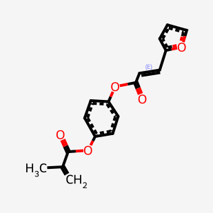 C=C(C)C(=O)Oc1ccc(OC(=O)/C=C/c2ccco2)cc1